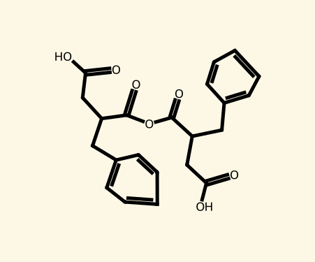 O=C(O)CC(Cc1ccccc1)C(=O)OC(=O)C(CC(=O)O)Cc1ccccc1